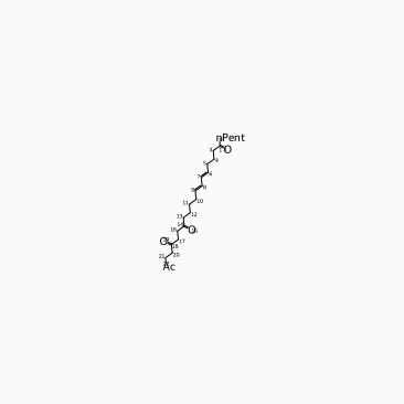 CCCCCC(=O)CCC/C=C/C=C/CCCCC(=O)CCC(=O)CCC(C)=O